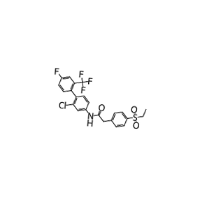 CCS(=O)(=O)c1ccc(CC(=O)Nc2ccc(-c3ccc(F)cc3C(F)(F)F)c(Cl)c2)cc1